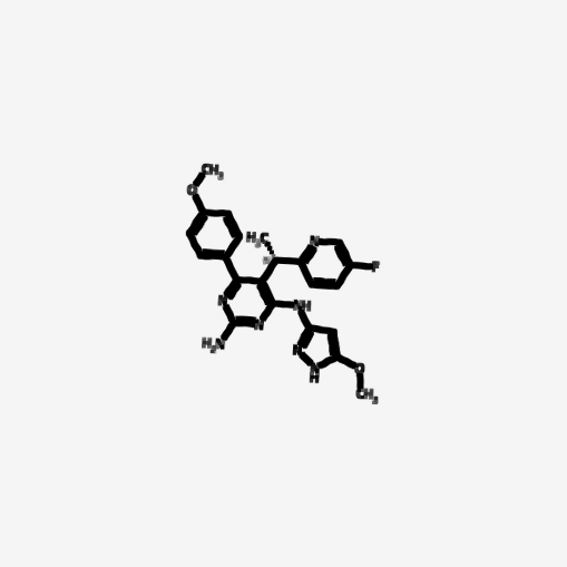 COc1ccc(-c2nc(N)nc(Nc3cc(OC)[nH]n3)c2[C@H](C)c2ccc(F)cn2)cc1